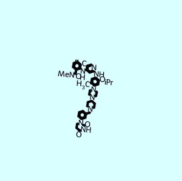 CNC(=O)c1ccccc1Nc1cc(Nc2cc(C)c(N3CCN(C4CCN(Cc5cccc(N6CCC(=O)NC6=O)c5)CC4)CC3)cc2OC(C)C)ncc1C(F)(F)F